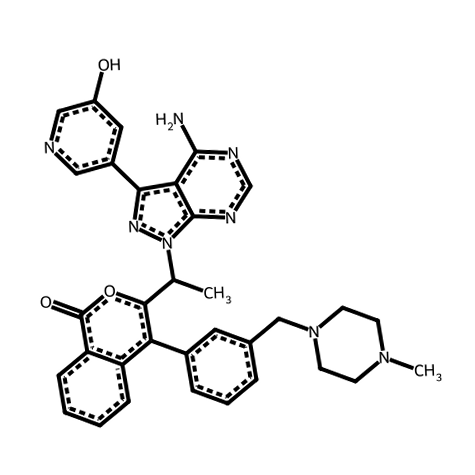 CC(c1oc(=O)c2ccccc2c1-c1cccc(CN2CCN(C)CC2)c1)n1nc(-c2cncc(O)c2)c2c(N)ncnc21